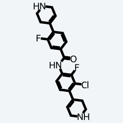 O=C(Nc1ccc(C2=CCNCC2)c(Cl)c1F)c1ccc(C2=CCNCC2)c(F)c1